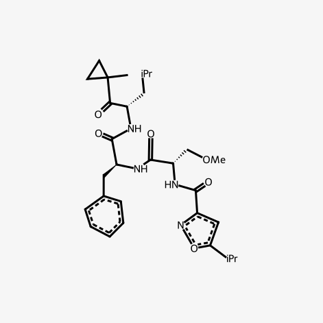 COC[C@H](NC(=O)c1cc(C(C)C)on1)C(=O)N[C@@H](Cc1ccccc1)C(=O)N[C@@H](CC(C)C)C(=O)C1(C)CC1